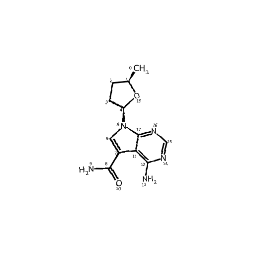 C[C@@H]1CC[C@H](n2cc(C(N)=O)c3c(N)ncnc32)O1